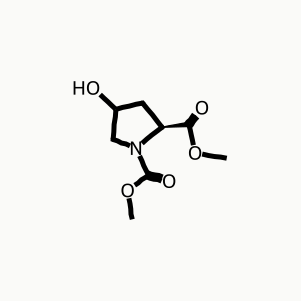 COC(=O)[C@@H]1CC(O)CN1C(=O)OC